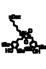 CCCCCCCCCCCCCCCCCC1(CCc2cc(C(C)(C)C)c(O)c(C(C)(C)C)c2)NC(=O)N(Cc2cc(C(C)(C)C)c(O)c(C(C)(C)C)c2)C1=O